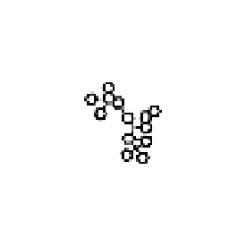 c1ccc(-c2c(-c3ccccc3)c3cc(-c4ccc(N(c5cccc6c5-c5ccccc5C6(c5ccccc5)c5ccccc5)c5cccc6c5ccc5ccccc56)cc4)ccc3c3ccccc23)cc1